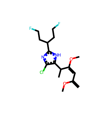 C=C(/C=C(/OC)C(C)c1[nH]c(C(CCF)CCF)nc1Cl)OC